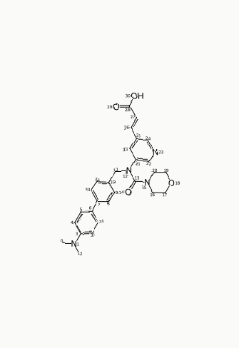 CN(C)c1ccc(-c2ccc(CN(C(=O)N3CCOCC3)c3cncc(C=CC(=O)O)c3)cc2)cc1